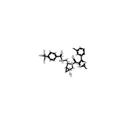 Cc1cccc(-c2sc(C)nc2C(=O)N2C[C@H]3CC3[C@H]2CNC(=O)c2ccc(C(F)(F)F)cc2)c1